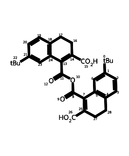 CC(C)(C)c1ccc2c(c1)C(C(=O)OC(=O)C1=C(C(=O)O)CCc3ccc(C(C)(C)C)cc31)=C(C(=O)O)CC2